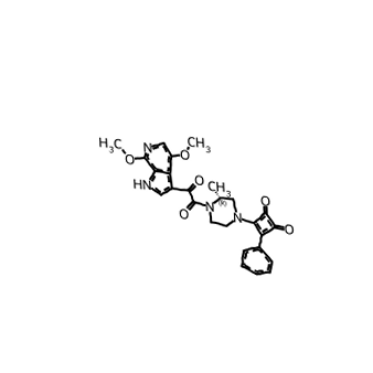 COc1ncc(OC)c2c(C(=O)C(=O)N3CCN(c4c(-c5ccccc5)c(=O)c4=O)C[C@H]3C)c[nH]c12